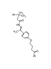 C/C(=N\NC(=O)CC(C)(C)C(C)C)c1ccc(OCCCC(=O)C(C)C)cc1